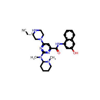 CN1CCCCC1N(C)c1nc(C(=O)Nc2cc(O)cc3ccccc23)cc(N2CCN[C@@H](CC#N)C2)n1